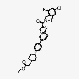 CCOC(=O)C[C@H]1CC[C@H](c2ccc(-c3ccc4nc(C(=O)NCc5c(F)cc(Cl)cc5F)cn4c3)cc2)CC1